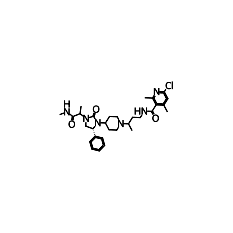 CNC(=O)C(C)N1C[C@@H](c2ccccc2)N(C2CCN(C(C)CCNC(=O)c3c(C)cc(Cl)nc3C)CC2)C1=O